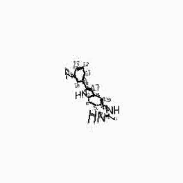 CC(=N)Nc1ccc2[nH]c(-c3cccc(F)c3)cc2c1